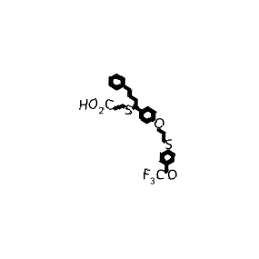 O=C(O)CCSC(CCCc1ccccc1)c1ccc(OCCCSc2ccc(C(=O)C(F)(F)F)cc2)cc1